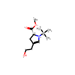 CC(C)(C)OC(=O)[C@H]1CC(CCO)=CN1[Si](C)(C)C